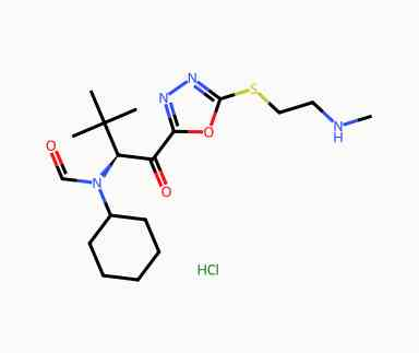 CNCCSc1nnc(C(=O)[C@@H](N(C=O)C2CCCCC2)C(C)(C)C)o1.Cl